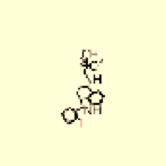 COC(=O)CNC1CCC2c3c(cccc31)NC2c1ccccc1F